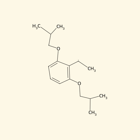 C[CH]c1c(OCC(C)C)cccc1OCC(C)C